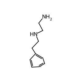 NCCNCCc1cc[c]cc1